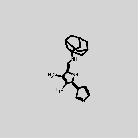 Cc1c(C)c(=C2C=CN=C2)[nH]c1=CNC12CC3CC(CC(C3)C1)C2